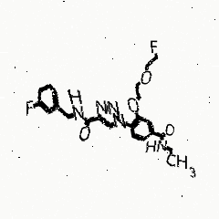 CCNC(=O)c1ccc(-n2cc(C(=O)NCc3cccc(F)c3)nn2)c(OCCOCCF)c1